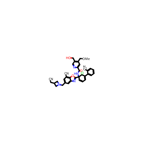 COCc1cc(C(=O)NC2(c3nc4cc(CN5CC(CC#N)C5)cc(C#N)c4o3)C=CC=C(c3ccccc3C)C2Cl)ncc1CO